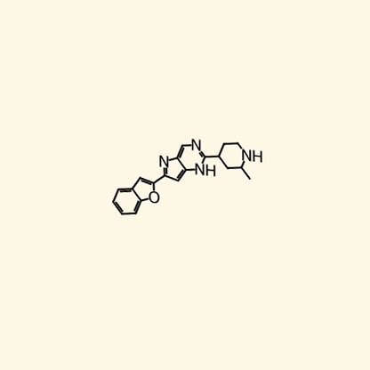 CC1CC(c2ncc3nc(-c4cc5ccccc5o4)cc-3[nH]2)CCN1